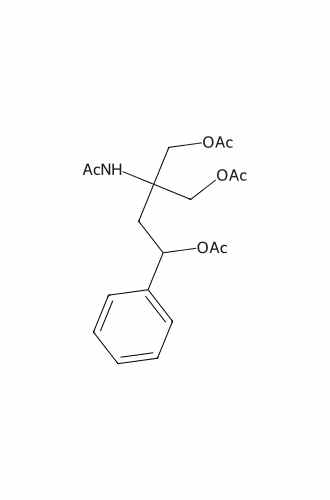 CC(=O)NC(COC(C)=O)(COC(C)=O)CC(OC(C)=O)c1ccccc1